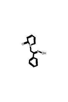 O=c1ccccn1CC(=NO)c1ccccc1